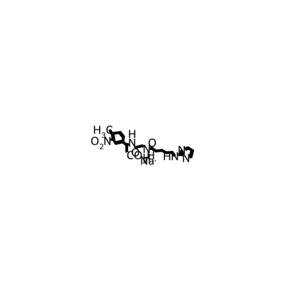 Cc1ccc(C(CC(=O)O)NC(=O)CNC(=O)CCCCNc2ncccn2)cc1[N+](=O)[O-].[Na]